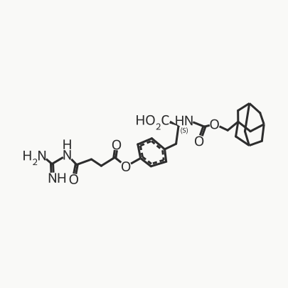 N=C(N)NC(=O)CCC(=O)Oc1ccc(C[C@H](NC(=O)OCC23CC4CC(CC(C4)C2)C3)C(=O)O)cc1